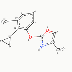 O=[C]c1coc(Oc2cccc(C(F)(F)F)c2C2CC2)n1